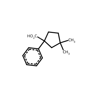 CC1(C)CCC(C(=O)O)(c2ccccc2)C1